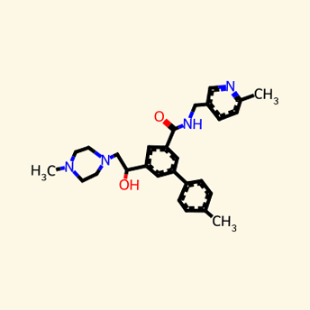 Cc1ccc(-c2cc(C(=O)NCc3ccc(C)nc3)cc(C(O)CN3CCN(C)CC3)c2)cc1